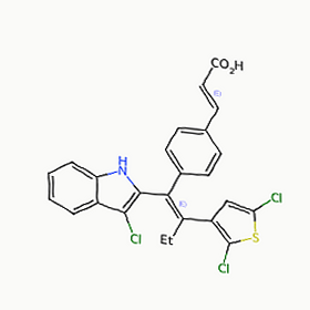 CC/C(=C(/c1ccc(/C=C/C(=O)O)cc1)c1[nH]c2ccccc2c1Cl)c1cc(Cl)sc1Cl